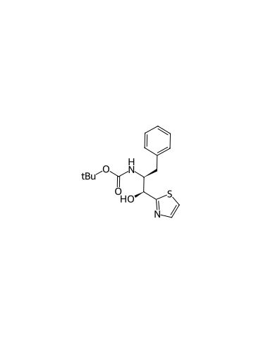 CC(C)(C)OC(=O)N[C@@H](Cc1ccccc1)[C@H](O)c1nccs1